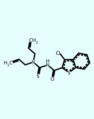 C=CCN(CC=C)C(=S)NC(=O)c1sc2ccccc2c1Cl